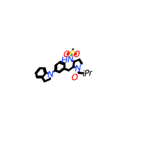 CC(C)C(=O)N1CCC(NS(C)(=O)=O)C1Cc1cccc(N2CCc3ccccc32)c1